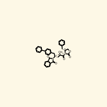 C[C@H](C[C@@H](Cc1ccc(-c2ccccc2)cc1)N1C(=O)c2ccccc2C1=O)C(=O)N1C(=O)OC[C@H]1Cc1ccccc1